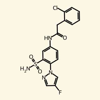 NS(=O)(=O)c1cc(NC(=O)Cc2ccccc2Cl)ccc1-n1cc(F)cn1